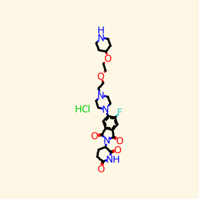 Cl.O=C1CCC(N2C(=O)c3cc(F)c(N4CCN(CCOCCOC5CCNCC5)CC4)cc3C2=O)C(=O)N1